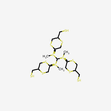 CS(=C1CSC(CS)CS1)C(S(C)=C1CSC(CS)CS1)S(C)=C1CSC(CS)CS1